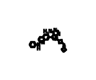 Nc1ncnc2c1c(-c1ccc3ccc(Nc4ccccc4)nc3c1)cn2C1CC(CN2CCC2)C1